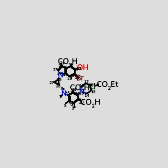 CCOC(=O)Cl.Cc1c(C)c(N(C)C)c(C(=O)O)c(N2CCCCC2)c1C(=O)O.O=C(O)c1cn(C2CC2)c2cc(Br)c(O)cc12